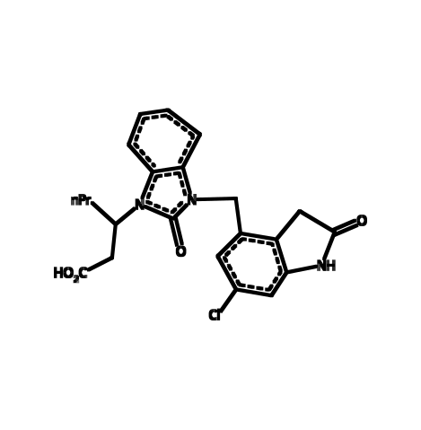 CCCC(CC(=O)O)n1c(=O)n(Cc2cc(Cl)cc3c2CC(=O)N3)c2ccccc21